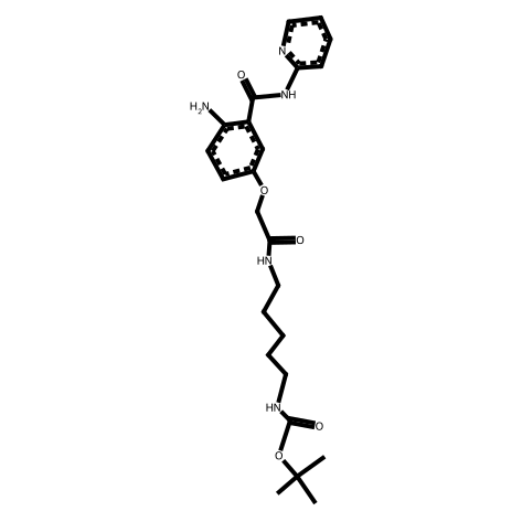 CC(C)(C)OC(=O)NCCCCCNC(=O)COc1ccc(N)c(C(=O)Nc2ccccn2)c1